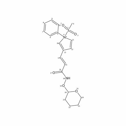 CS(=O)(=O)[N+]1(c2ccccc2)C=CC(/C=C/C(=O)NOC2CCCCO2)=C1